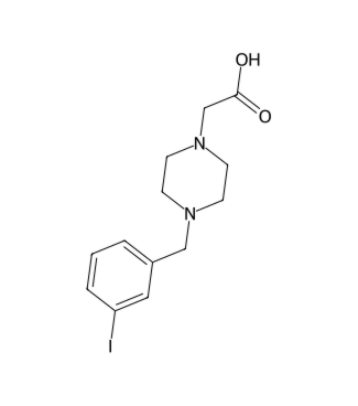 O=C(O)CN1CCN(Cc2cccc(I)c2)CC1